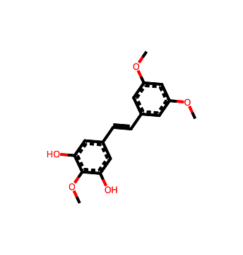 COc1cc(/C=C/c2cc(O)c(OC)c(O)c2)cc(OC)c1